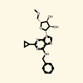 [CH2]OC[C@H]1O[C@@H](n2cnc3c(NCc4ccccc4)nc(C4CC4)nc32)[C@H](O)[C@@H]1O